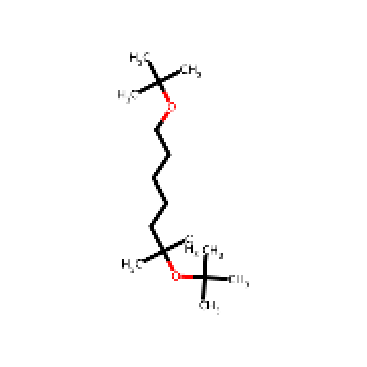 CC(C)(C)OCCCCCC(C)(C)OC(C)(C)C